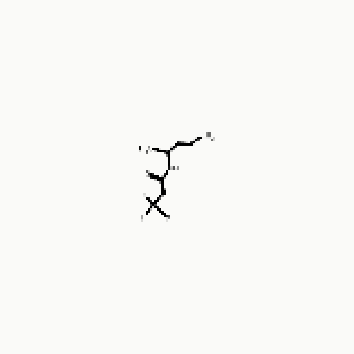 CCCC(C)NC(=O)CC(F)(F)F